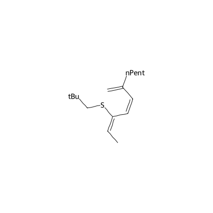 C=C(/C=C\C(=C/C)SCC(C)(C)C)CCCCC